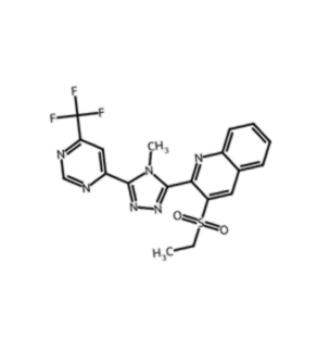 CCS(=O)(=O)c1cc2ccccc2nc1-c1nnc(-c2cc(C(F)(F)F)ncn2)n1C